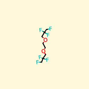 FCC(F)(F)COCCOCC(F)(F)CF